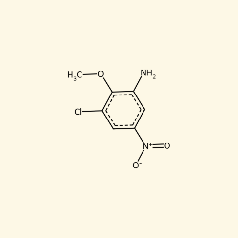 COc1c(N)cc([N+](=O)[O-])cc1Cl